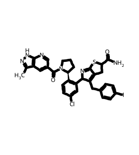 Cc1n[nH]c2ncc(C(=O)N3CCC[C@H]3c3ccc(Cl)cc3C3N=C4SC(C(N)=O)CC4=C3Cc3ccc(I)cc3)cc12